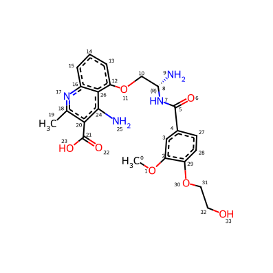 COc1cc(C(=O)N[C@@H](N)COc2cccc3nc(C)c(C(=O)O)c(N)c23)ccc1OCCO